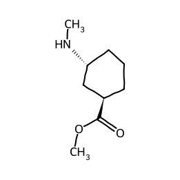 CN[C@@H]1CCC[C@@H](C(=O)OC)C1